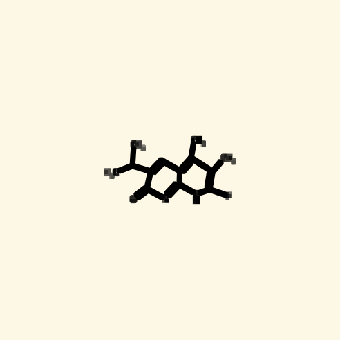 Cc1c2cc(C(C)C)c(=O)nc-2[nH]c(F)c1C